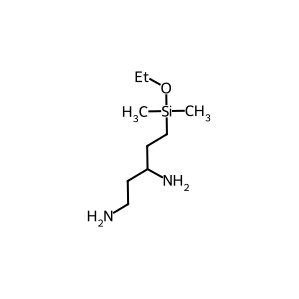 CCO[Si](C)(C)CCC(N)CCN